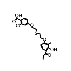 CCC(=O)c1ccc(OCCSCCOc2ccc(C(=O)O)c(Cl)c2)c(C)c1O